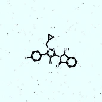 CCc1c(N2C(=O)c3ccccc3C2O)nn(CC2CC2)c1-c1ccc(F)cc1